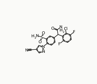 N#Cc1cnn(-c2ccc(C(C(N)=O)c3c(F)ccc(F)c3Cl)cc2S(N)(=O)=O)c1